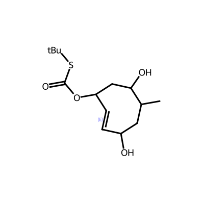 CC1CC(O)/C=C/C(OC(=O)SC(C)(C)C)CC1O